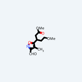 COCCC(CC(=O)OC)c1onc(C=O)c1C